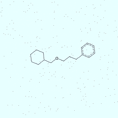 c1ccc(CCCOCC2CCCCC2)cc1